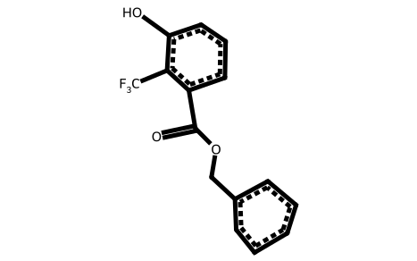 O=C(OCc1ccccc1)c1cccc(O)c1C(F)(F)F